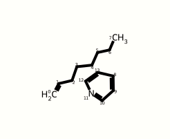 C=CCCCCCC.c1ccncc1